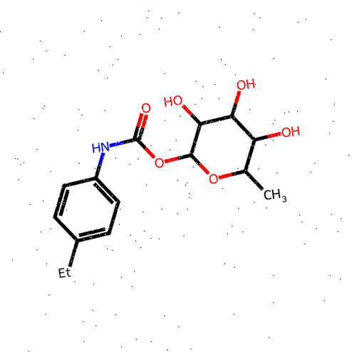 CCc1ccc(NC(=O)OC2OC(C)C(O)C(O)C2O)cc1